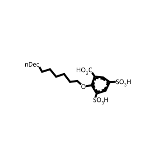 CCCCCCCCCCCCCCCCOc1c(C(=O)O)cc(S(=O)(=O)O)cc1S(=O)(=O)O